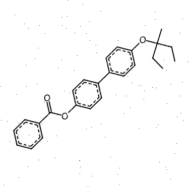 CCC(C)(CC)Oc1ccc(-c2ccc(OC(=O)c3ccccc3)cc2)cc1